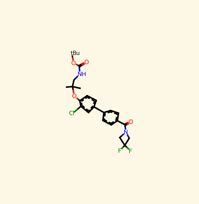 CC(C)(C)OC(=O)NCC(C)(C)Oc1ccc(-c2ccc(C(=O)N3CC(F)(F)C3)cc2)cc1Cl